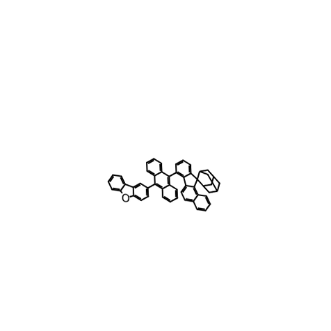 c1cc(-c2c3ccccc3c(-c3ccc4oc5ccccc5c4c3)c3ccccc23)c2c(c1)C1(c3c-2ccc2ccccc32)C2CC3CC(C2)CC1C3